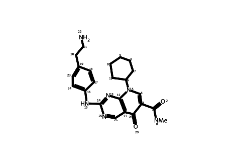 CNC(=O)c1cn(C2CCCCC2)c2nc(Nc3ccc(CCN)cc3)ncc2c1=O